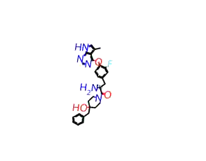 Cc1c[nH]c2ncnc(Oc3ccc(C[C@H](N)C(=O)N4CCC(O)(Cc5ccccc5)CC4)cc3F)c12